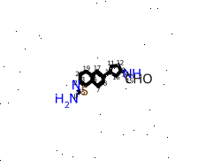 Nc1nc2c(s1)-c1ccc(C3CCC(NC=O)C3)cc1CC2